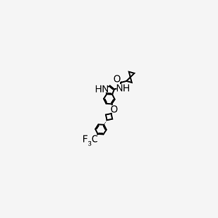 O=C(Nc1c[nH]c2ccc(O[C@H]3C[C@@H](c4ccc(C(F)(F)F)cc4)C3)cc12)C1CC12CC2